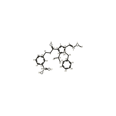 CO/N=C/c1cc(C(=O)CCc2cccc([N+](=O)[O-])c2)c(C(C)C)n1Cc1ccccc1